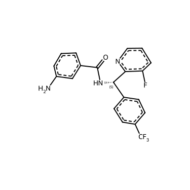 Nc1cccc(C(=O)N[C@@H](c2ccc(C(F)(F)F)cc2)c2ncccc2F)c1